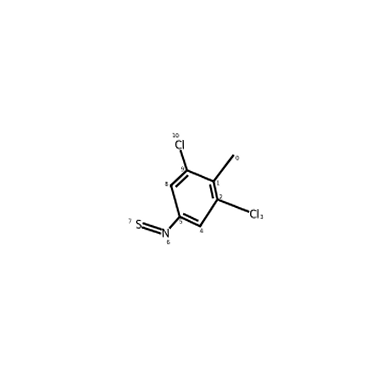 Cc1c(Cl)cc(N=S)cc1Cl